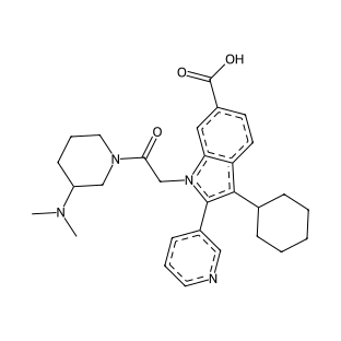 CN(C)C1CCCN(C(=O)Cn2c(-c3cccnc3)c(C3CCCCC3)c3ccc(C(=O)O)cc32)C1